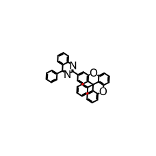 c1ccc(-c2nc(-c3ccc4c(c3)Oc3cccc5c3C4(c3ccccc3)c3ccccc3O5)nc3ccccc23)cc1